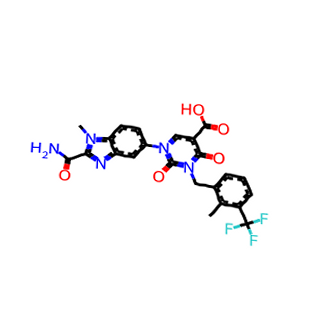 Cc1c(Cn2c(=O)c(C(=O)O)cn(-c3ccc4c(c3)nc(C(N)=O)n4C)c2=O)cccc1C(F)(F)F